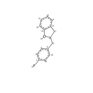 Fc1ccc(CC2Cc3ccccc3O2)cc1